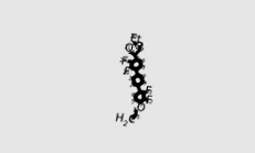 C=CCOc1ccc(-c2ccc(-c3ccc(C4COC(CC)OC4)c(F)c3F)cc2)c(F)c1F